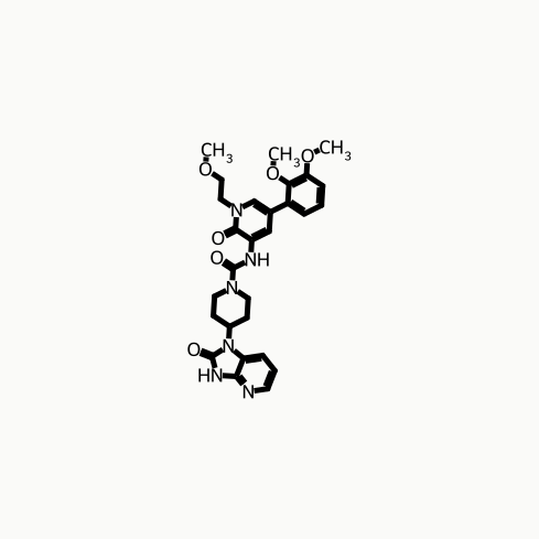 COCCn1cc(-c2cccc(OC)c2OC)cc(NC(=O)N2CCC(n3c(=O)[nH]c4ncccc43)CC2)c1=O